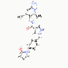 Cc1cc(N)nc(C)c1CNC(=O)c1cnn(Cc2ccc(N3CCCC3=O)cc2)c1